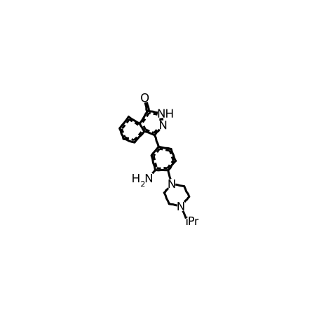 CC(C)N1CCN(c2ccc(-c3n[nH]c(=O)c4ccccc34)cc2N)CC1